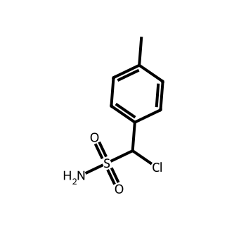 Cc1ccc(C(Cl)S(N)(=O)=O)cc1